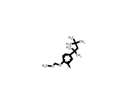 COCOc1ccc(C(C)(C)CC(C)(C)C)cc1I